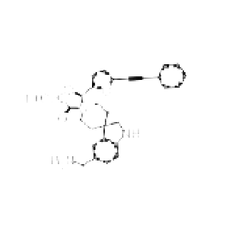 CCOC(=O)C(=O)[N+]1(C(=O)c2ccc(C#Cc3ccccc3)o2)CCC2(CC1)CNc1ccc(CN)cc12